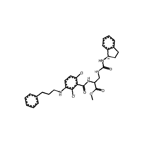 COC(=O)C(CNC(=O)N[C@@H]1CCc2ccccc21)NC(=O)c1c(Cl)ccc(NCCCc2ccccc2)c1Cl